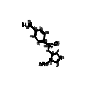 CCCn1cncc1C[S@@+]([O-])c1ccc(N)cc1